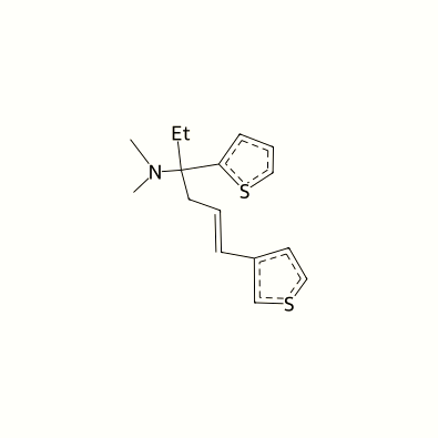 CCC(CC=Cc1ccsc1)(c1cccs1)N(C)C